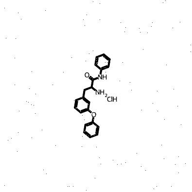 Cl.NC(Cc1cccc(Oc2ccccc2)c1)C(=O)Nc1ccccc1